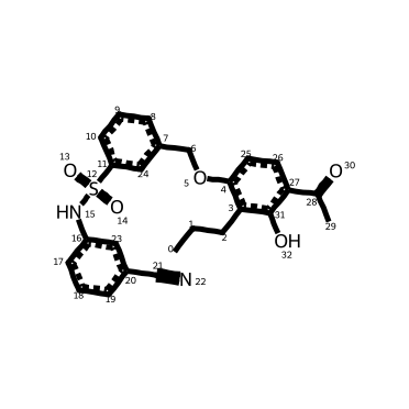 CCCc1c(OCc2cccc(S(=O)(=O)Nc3cccc(C#N)c3)c2)ccc(C(C)=O)c1O